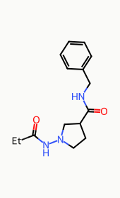 CCC(=O)NN1CCC(C(=O)NCc2ccccc2)C1